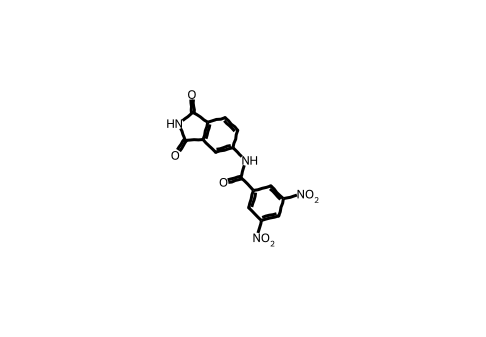 O=C(Nc1ccc2c(c1)C(=O)NC2=O)c1cc([N+](=O)[O-])cc([N+](=O)[O-])c1